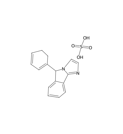 C1=CCCC(C2c3ccccc3-c3nccn32)=C1.O=S(=O)(O)O